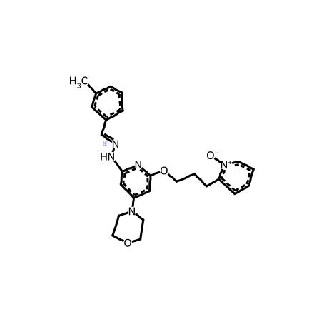 Cc1cccc(/C=N/Nc2cc(N3CCOCC3)cc(OCCCc3cccc[n+]3[O-])n2)c1